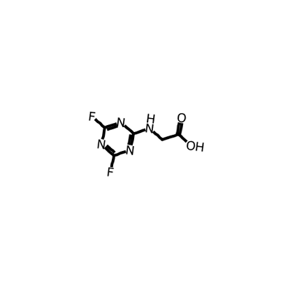 O=C(O)CNc1nc(F)nc(F)n1